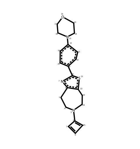 C1=CC(N2CCc3nc(-c4ccc(N5CCOCC5)cc4)sc3CC2)=C1